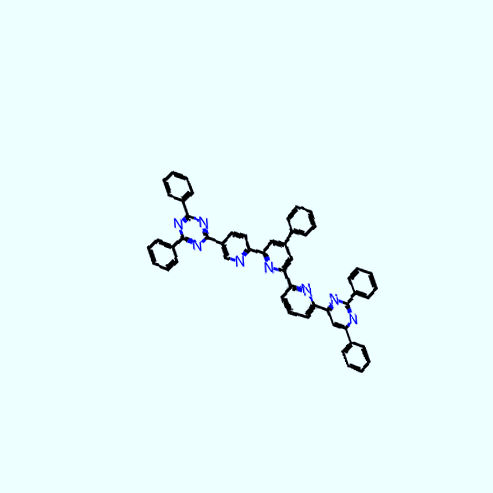 c1ccc(-c2cc(-c3ccc(-c4nc(-c5ccccc5)nc(-c5ccccc5)n4)cn3)nc(-c3cccc(-c4cc(-c5ccccc5)nc(-c5ccccc5)n4)n3)c2)cc1